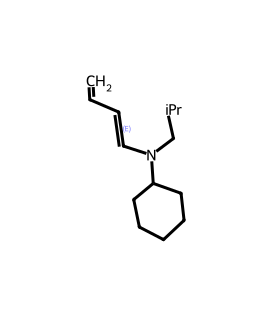 C=C/C=C/N(CC(C)C)C1CCCCC1